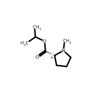 CC(C)OC(=O)[C@H]1CCCN1C